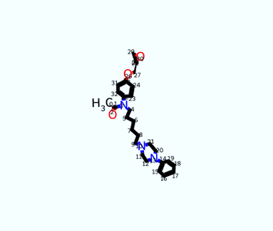 CC(=O)N(CCCCCCN1CCN(c2ccccc2)CC1)c1ccc(OC[C@H]2CO2)cc1